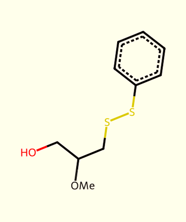 COC(CO)CSSc1ccccc1